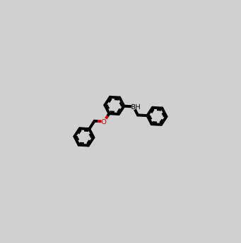 B(Cc1ccccc1)c1cccc(OCc2ccccc2)c1